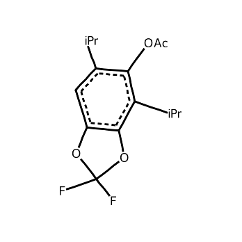 CC(=O)Oc1c(C(C)C)cc2c(c1C(C)C)OC(F)(F)O2